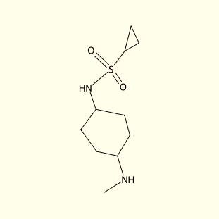 CNC1CCC(NS(=O)(=O)C2CC2)CC1